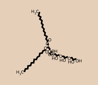 CCCCCCCCCCCCCCCC(=O)OC[C@H](COP(=O)(O)OC[C@@H](O)COC[C@H](O)COC[C@H](O)CO)OC(=O)CCCCCCCCCCCCCCC